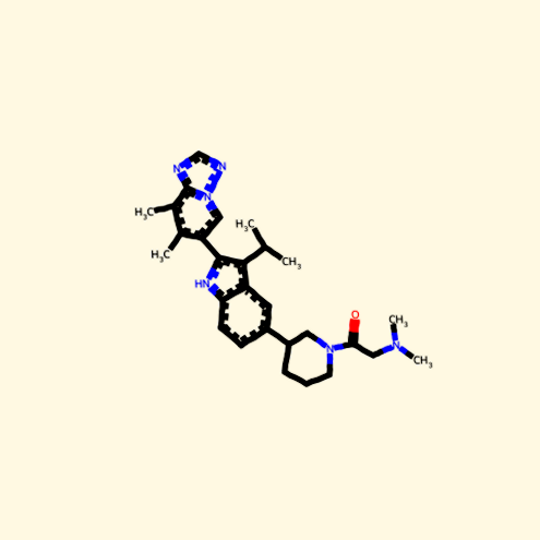 Cc1c(-c2[nH]c3ccc(C4CCCN(C(=O)CN(C)C)C4)cc3c2C(C)C)cn2ncnc2c1C